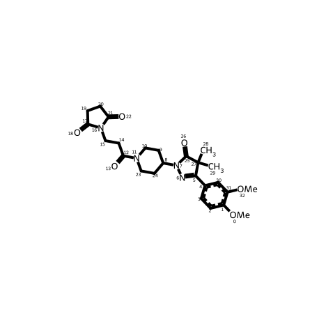 COc1ccc(C2=NN(C3CCN(C(=O)CCN4C(=O)CCC4=O)CC3)C(=O)C2(C)C)cc1OC